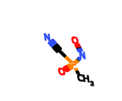 CP(=O)(C#N)N=O